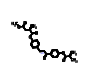 C=C(C)C(=O)Oc1ccc(C(=O)/C=C/c2ccc(OC(=O)C(=C)CC(=O)OC)cc2)cc1